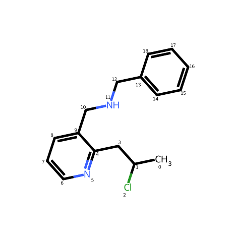 CC(Cl)Cc1ncccc1CNCc1ccccc1